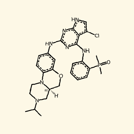 CC(C)N1CCN2c3ccc(Nc4nc(Nc5ccccc5P(C)(C)=O)c5c(Cl)c[nH]c5n4)cc3OC[C@H]2C1